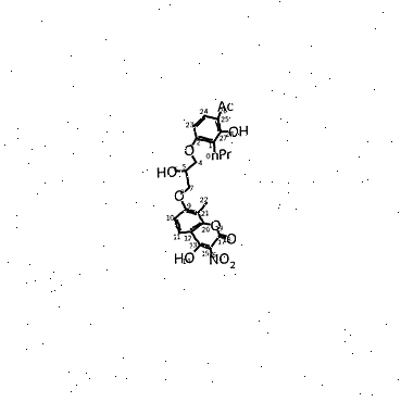 CCCc1c(OCC(O)COc2ccc3c(O)c([N+](=O)[O-])c(=O)oc3c2C)ccc(C(C)=O)c1O